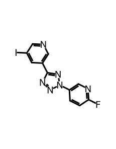 Fc1ccc(-n2nnc(-c3cncc(I)c3)n2)cn1